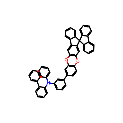 c1ccc(-c2ccccc2N(c2ccccc2)c2cccc(-c3ccc4c(c3)Oc3cc5c(cc3O4)C3(c4ccccc4-c4ccccc43)c3ccccc3-5)c2)cc1